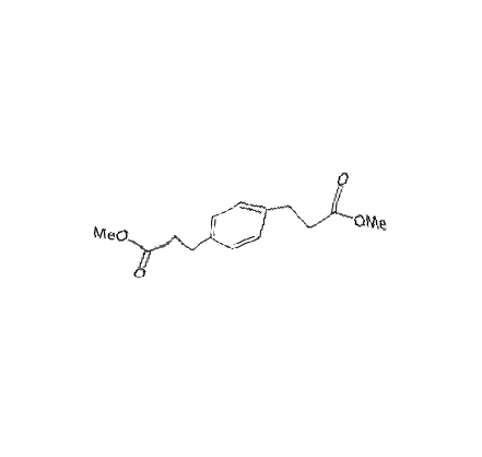 COC(=O)CCc1ccc(CCC(=O)OC)cc1